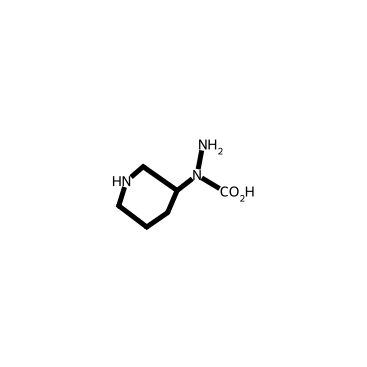 NN(C(=O)O)C1CCCNC1